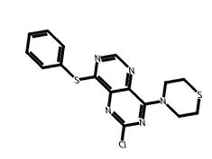 Clc1nc(N2CCSCC2)c2ncnc(Sc3ccccc3)c2n1